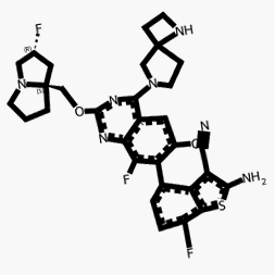 N#Cc1c(N)sc2c(F)ccc(-c3c(Cl)cc4c(N5CCC6(CCN6)C5)nc(OC[C@@]56CCCN5C[C@H](F)C6)nc4c3F)c12